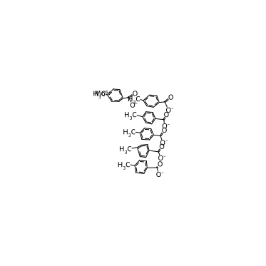 Cc1ccc(C(=O)[O-])cc1.Cc1ccc(C(=O)[O-])cc1.Cc1ccc(C(=O)[O-])cc1.Cc1ccc(C(=O)[O-])cc1.Cc1ccc(C(=O)[O-])cc1.Cc1ccc(C(=O)[O-])cc1.[Mo+6]